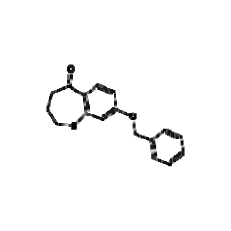 O=C1CCCSc2cc(OCc3ccccc3)ccc21